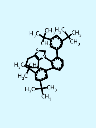 CC(C)(C)c1cc(-c2cccc(-c3cc(C(C)(C)C)cc(C(C)(C)C)c3)c2N2CSC3=C2CCCC3)cc(C(C)(C)C)c1